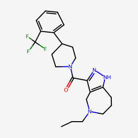 CCCN1CCCc2[nH]nc(C(=O)N3CCC(c4ccccc4C(F)(F)F)CC3)c2C1